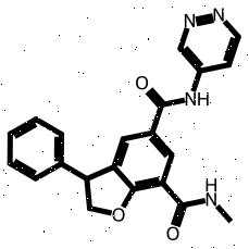 CNC(=O)c1cc(C(=O)Nc2ccnnc2)cc2c1OCC2c1ccccc1